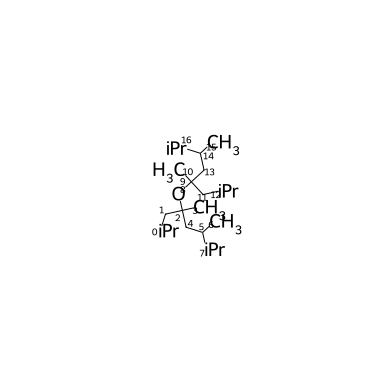 CC(C)CC(C)(CC(C)C(C)C)OC(C)(CC(C)C)CC(C)C(C)C